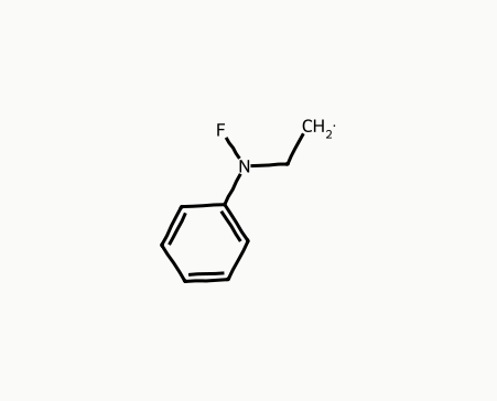 [CH2]CN(F)c1ccccc1